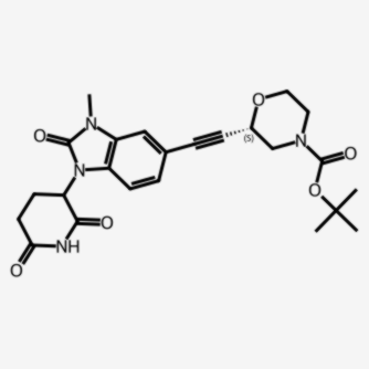 Cn1c(=O)n(C2CCC(=O)NC2=O)c2ccc(C#C[C@H]3CN(C(=O)OC(C)(C)C)CCO3)cc21